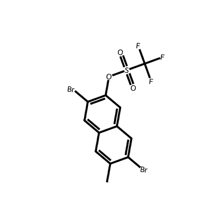 Cc1cc2cc(Br)c(OS(=O)(=O)C(F)(F)F)cc2cc1Br